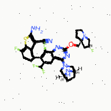 N#Cc1c(N)sc2c(F)ccc(-c3c(C(F)F)cc4c(N5C[C@H]6CC[C@@H](C5)N6)nc(OC[C@@]56CCCN5C[C@H](F)C6)nc4c3F)c12